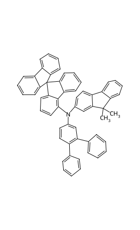 CC1(C)c2ccccc2-c2ccc(N(c3ccc(-c4ccccc4)c(-c4ccccc4)c3)c3cccc4c3-c3ccccc3C43c4ccccc4-c4ccccc43)cc21